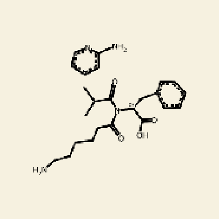 CC(C)C(=O)N(C(=O)CCCCCN)[C@@H](Cc1ccccc1)C(=O)O.Nc1ccccn1